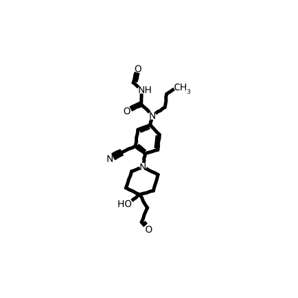 CCCN(C(=O)NC=O)c1ccc(N2CCC(O)(CC=O)CC2)c(C#N)c1